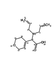 C=CCN(CC=C)C(C(=O)O)C1=CCOCC1